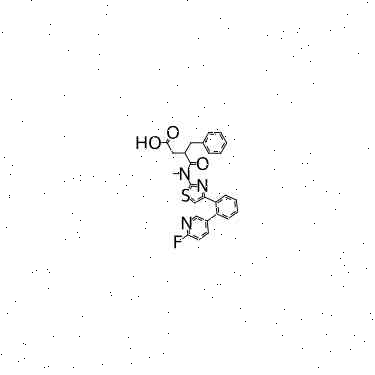 CN(C(=O)C(CC(=O)O)Cc1ccccc1)c1nc(-c2ccccc2-c2ccc(F)nc2)cs1